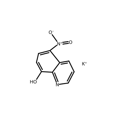 O=[N+]([O-])c1ccc(O)c2ncccc12.[K+]